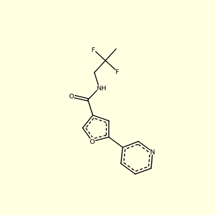 CC(F)(F)CNC(=O)c1coc(-c2cccnc2)c1